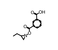 CCC1CN1OC(=O)c1cccc(C(=O)O)c1